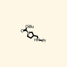 CC(C)COC(=O)N1CCC(CNC(C)C)C1